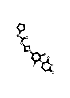 O=C1CC[C@@H](c2c(F)cc(N3CC(OC(=O)NC4CCCC4)C3)cc2F)C(=O)N1